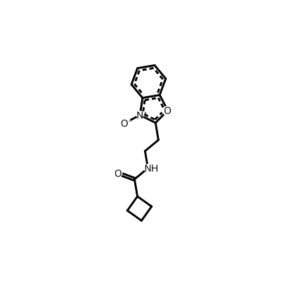 O=C(NCCc1oc2ccccc2[n+]1[O-])C1CCC1